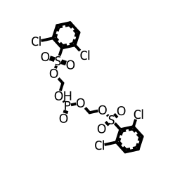 O=[PH](OCOS(=O)(=O)c1c(Cl)cccc1Cl)OCOS(=O)(=O)c1c(Cl)cccc1Cl